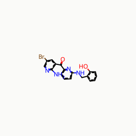 Nc1ncc(Br)cc1C(=O)c1cccc(NCc2ccccc2O)n1